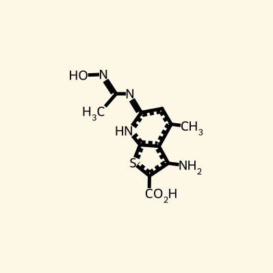 CC(/N=c1/cc(C)c2c(N)c(C(=O)O)sc2[nH]1)=N\O